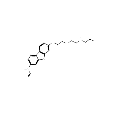 CN(C=O)c1ccc2c(c1)[nH]c1cc(OCCOCCOCCF)ccc12